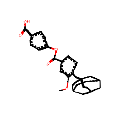 COc1cc(C(=O)Oc2ccc(C(=O)O)cc2)ccc1C12CC3CC(CC(C3)C1)C2